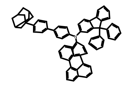 c1ccc(-c2cccc3cccc(-c4ccc(N(c5ccc(-c6ccc(C78CC9CC(CC(C9)C7)C8)cc6)cc5)c5ccc6c(c5)C(c5ccccc5)(c5ccccc5)c5ccccc5-6)cc4)c23)cc1